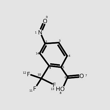 O=Nc1ccc(C(=O)O)c(C(F)(F)F)c1